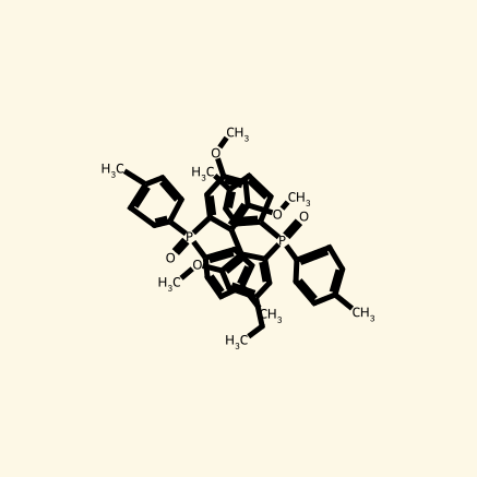 CCc1cc(OC)c(-c2c(OC)cc(OC)cc2P(=O)(c2ccc(C)cc2)c2ccc(C)cc2)c(P(=O)(c2ccc(C)cc2)c2ccc(C)cc2)c1